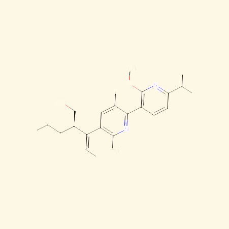 C/C=C(\c1cc(C)c(-c2ccc(C(C)C)nc2OC)nc1C)[C@H](CO)CCC